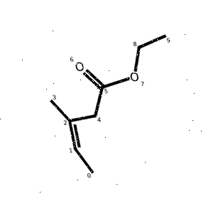 C/C=C(/C)CC(=O)OCC